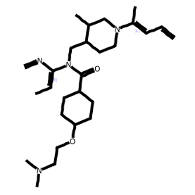 C=C/C=C(\C)N1CCC(CN(C(=O)C2CCC(OCCN(C)C)CC2)/C(=C/C)N=C)C(C)C1